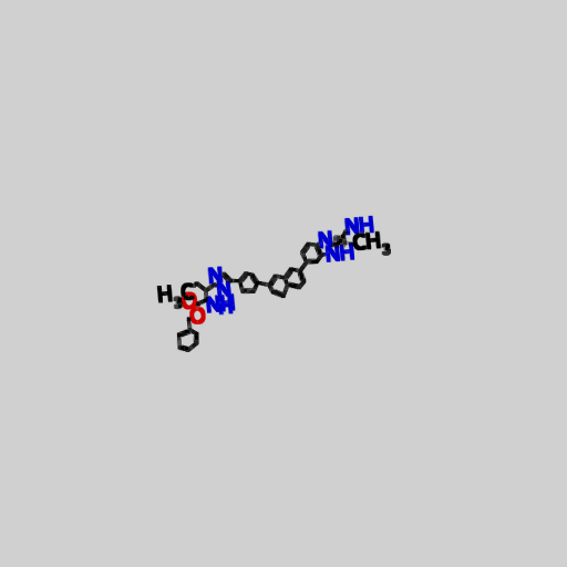 CCC(C(=N)C(=O)OCc1ccccc1)c1ncc(-c2ccc(-c3ccc4ccc(-c5ccc6nc([C@H](C=N)CC)[nH]c6c5)cc4c3)cc2)[nH]1